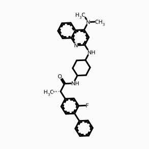 C[C@H](C(=O)NC1CCC(Nc2cc(N(C)C)c3ccccc3n2)CC1)c1ccc(-c2ccccc2)c(F)c1